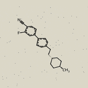 C[C@H]1CC[C@H](CCc2ccc(-c3ccc(C#N)c(F)c3)cc2)CC1